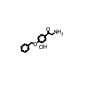 Cl.NCC(=O)c1ccc(OCc2ccccc2)cc1